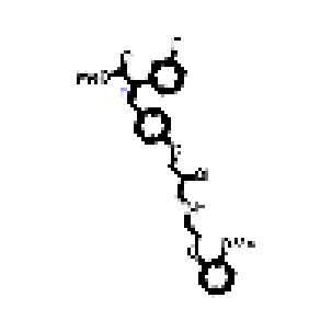 COC(=O)/C(=C/c1ccc(OCC(O)CNCCOc2ccccc2OC)cc1)c1cccc(F)c1